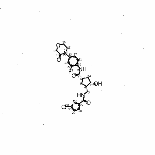 O=C(NC[C@H]1C[C@H](C(=O)Nc2ccc(N3CCOCC3=O)cc2F)C[C@@H]1O)c1ccc(Cl)s1